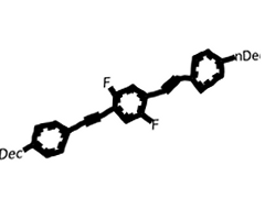 CCCCCCCCCCc1ccc(C#Cc2cc(F)c(C#Cc3ccc(CCCCCCCCCC)cc3)cc2F)cc1